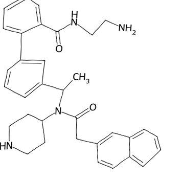 CC(c1cccc(-c2ccccc2C(=O)NCCN)c1)N(C(=O)Cc1ccc2ccccc2c1)C1CCNCC1